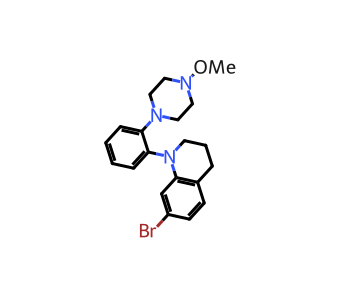 CON1CCN(c2ccccc2N2CCCc3ccc(Br)cc32)CC1